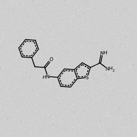 N=C(N)c1cc2cc(NC(=O)Cc3ccccc3)ccc2s1